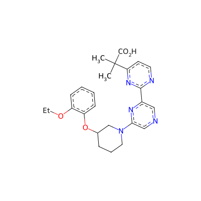 CCOc1ccccc1OC1CCCN(c2cncc(-c3nccc(C(C)(C)C(=O)O)n3)n2)C1